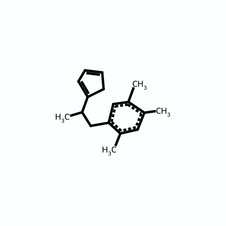 Cc1cc(C)c(CC(C)C2=CC=CC2)cc1C